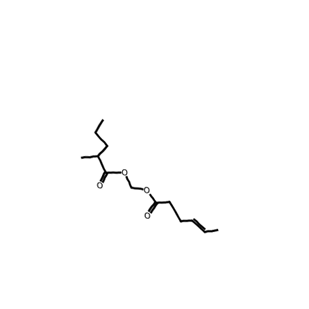 C/C=C/CCC(=O)OCOC(=O)C(C)CCC